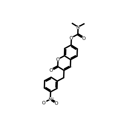 CN(C)C(=O)Oc1ccc2[c]c(Cc3cccc([N+](=O)[O-])c3)c(=O)oc2c1